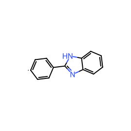 [c]1ccc(-c2nc3ccccc3[nH]2)cc1